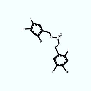 O=[PH](OCc1cc(F)c(Br)cc1F)OCc1cc(F)c(Br)cc1F